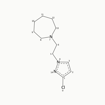 Clc1ccn(CCN2CCCCCC2)n1